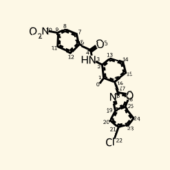 Cc1c(NC(=O)c2ccc([N+](=O)[O-])cc2)cccc1-c1nc2cc(Cl)ccc2o1